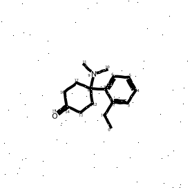 CCc1ccccc1C1(N(C)C)CCC(=O)CC1